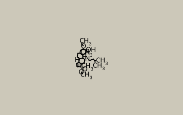 CCO[C@H]1CC2CC[C@@H]3[C@H]([C@H](NCCC(C)C)C[C@]4(C)[C@@H](C(=O)OC)CC[C@@H]34)[C@@]2(C)C[C@@H]1O